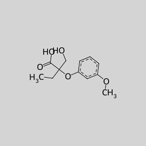 CCC(CO)(Oc1cccc(OC)c1)C(=O)O